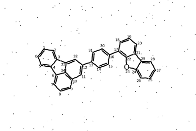 c1ccc2c(c1)-c1cccc3cc(-c4ccc(-c5cccc6c5oc5ccccc56)cc4)cc-2c13